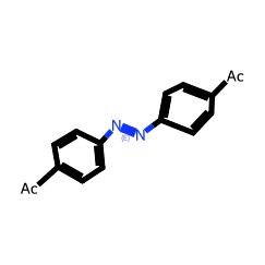 CC(=O)c1ccc(/N=N/c2ccc(C(C)=O)cc2)cc1